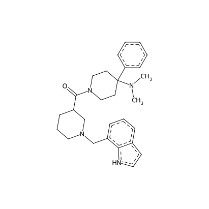 CN(C)C1(c2ccccc2)CCN(C(=O)C2CCCN(Cc3cccc4cc[nH]c34)C2)CC1